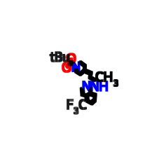 C[C@@H](CC=C1CCN(C(=O)OC(C)(C)C)CC1)Nc1nccc2c(C(F)(F)F)cccc12